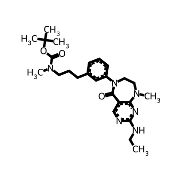 CCNc1ncc2c(n1)N(C)CCN(c1cccc(CCCN(C)C(=O)OC(C)(C)C)c1)C2=O